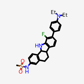 CCN(CC)c1ccc(-c2ccc3c(c2F)NC2c4ccc(NS(C)(=O)=O)cc4CCC32)cc1